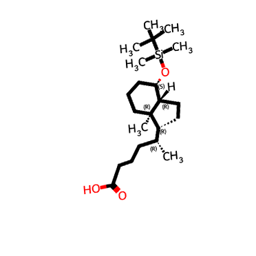 C[C@H](CCCC(=O)O)[C@H]1CC[C@H]2[C@@H](O[Si](C)(C)C(C)(C)C)CCC[C@]12C